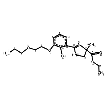 CCCOCCOc1ccnc(C2=NC(C)(C(=O)OCC)CN2)c1O